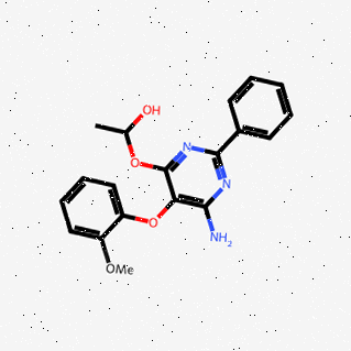 COc1ccccc1Oc1c(N)nc(-c2ccccc2)nc1OC(C)O